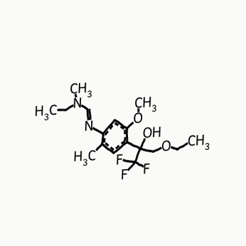 CCOCC(O)(c1cc(C)c(N=CN(C)CC)cc1OC)C(F)(F)F